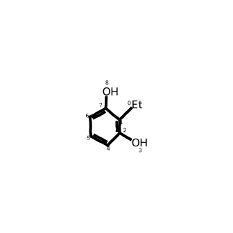 [CH2]Cc1c(O)cccc1O